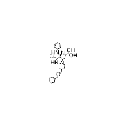 N=C(c1c(N2CCC(COCc3ccccc3)CC2)cc(C(O)O)nc1Nc1ccccc1)C1CCC1